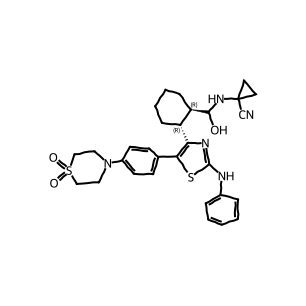 N#CC1(NC(O)[C@@H]2CCCC[C@H]2c2nc(Nc3ccccc3)sc2-c2ccc(N3CCS(=O)(=O)CC3)cc2)CC1